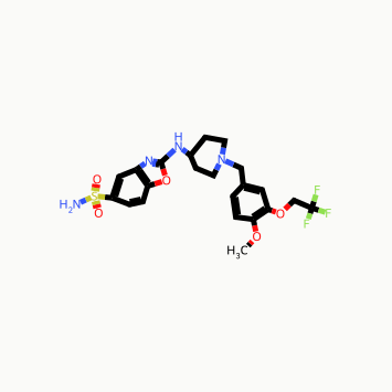 COc1ccc(CN2CCC(Nc3nc4cc(S(N)(=O)=O)ccc4o3)CC2)cc1OCC(F)(F)F